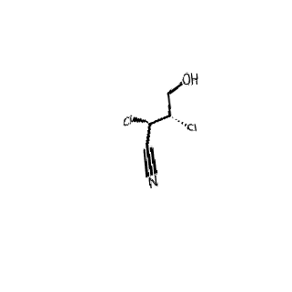 N#C[C@@H](Cl)[C@@H](Cl)CO